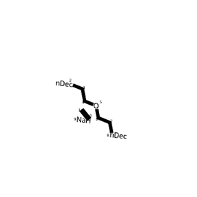 C=C.CCCCCCCCCCCCOCCCCCCCCCCCC.[NaH]